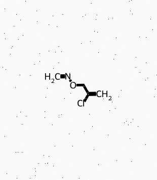 C=NOCC(=C)Cl